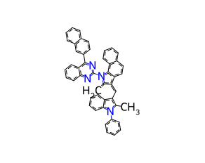 C=c1/c(=C\c2c(C)n(-c3ccccc3)c3ccccc23)c2ccc3ccccc3c2n1-c1nc(-c2ccc3ccccc3c2)c2ccccc2n1